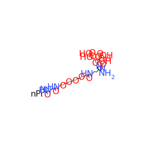 CCCC(C(=O)NCCC(=O)NCCOCCOCCOCCOCCC(=O)NCCCc1cn([C@@H]2O[C@H](COP(=O)(O)O)[C@H](OP(=O)(O)O)C2O)c(=O)nc1N)N(C)C